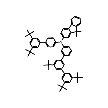 CC(C)(C)c1cc(-c2cccc(N(c3ccc(-c4cc(C(C)(C)C)cc(C(C)(C)C)c4)cc3)c3ccc4c(c3)C(C)(C)c3ccccc3-4)c2)cc(-c2cc(C(C)(C)C)cc(C(C)(C)C)c2)c1